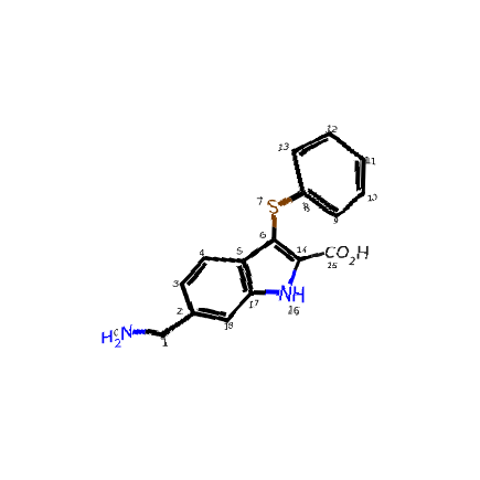 NCc1ccc2c(Sc3ccccc3)c(C(=O)O)[nH]c2c1